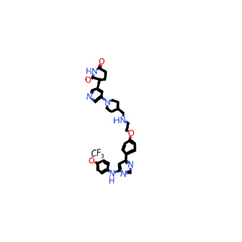 O=C1CCC(c2cncc(N3CCC(CNCCOc4ccc(-c5cc(Nc6ccc(OC(F)(F)F)cc6)ncn5)cc4)CC3)c2)C(=O)N1